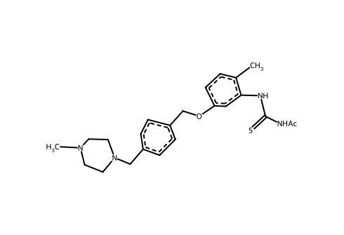 CC(=O)NC(=S)Nc1cc(OCc2ccc(CN3CCN(C)CC3)cc2)ccc1C